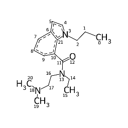 CCCn1ccc2cccc(C(=O)N(CC)CCN(C)C)c21